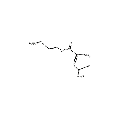 CCCCCCCCCCCCCOC(=O)C(C)=CC(F)CCCCCCC